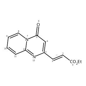 CCOC(=O)/C=C/c1cc(=O)n2ccccc2n1